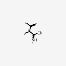 C=C(C)C(C)C(=N)Cl